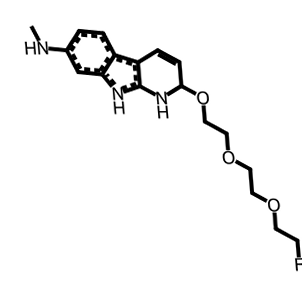 CNc1ccc2c3c([nH]c2c1)NC(OCCOCCOCCF)C=C3